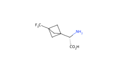 N[C@H](C(=O)O)C12CC(C(F)(F)F)(C1)C2